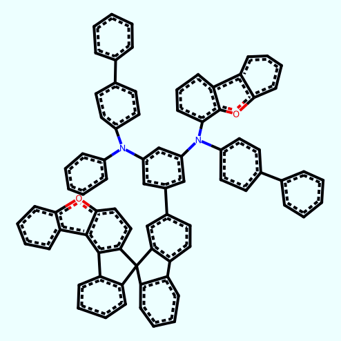 c1ccc(-c2ccc(N(c3ccccc3)c3cc(-c4ccc5c(c4)C4(c6ccccc6-5)c5ccccc5-c5c4ccc4oc6ccccc6c54)cc(N(c4ccc(-c5ccccc5)cc4)c4cccc5c4oc4ccccc45)c3)cc2)cc1